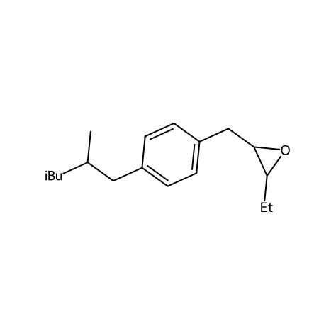 CCC(C)C(C)Cc1ccc(CC2OC2CC)cc1